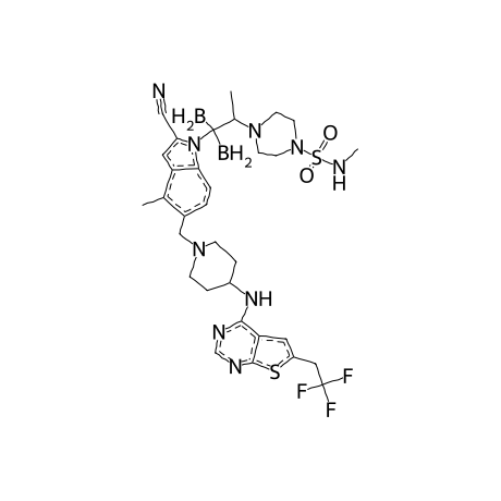 BC(B)(C(C)N1CCN(S(=O)(=O)NC)CC1)n1c(C#N)cc2c(C)c(CN3CCC(Nc4ncnc5sc(CC(F)(F)F)cc45)CC3)ccc21